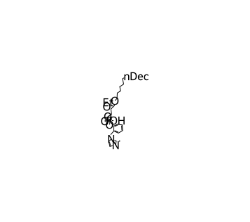 CCCCCCCCCCCCCCCCOCC(COP(=O)(O)Oc1ccccc1CN1[CH]N(C)C=C1)OCC